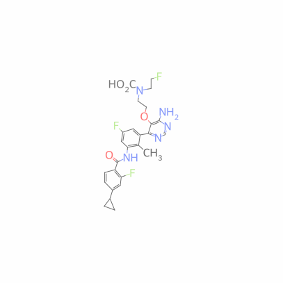 Cc1c(NC(=O)c2ccc(C3CC3)cc2F)cc(F)cc1-c1ncnc(N)c1OCCN(CCF)C(=O)O